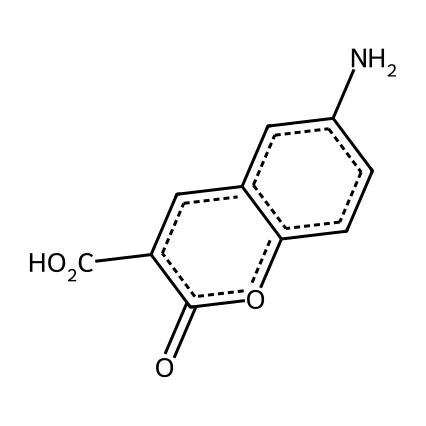 Nc1ccc2oc(=O)c(C(=O)O)cc2c1